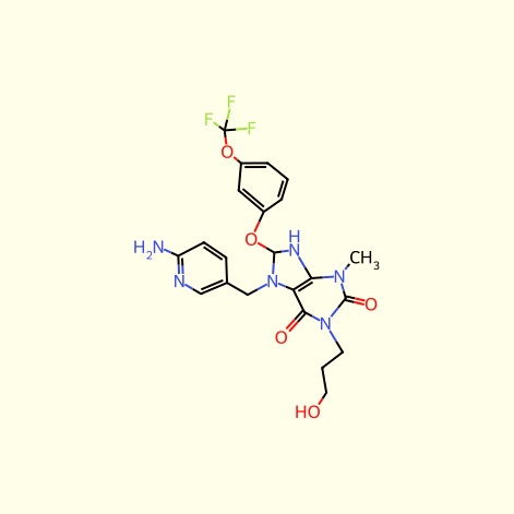 Cn1c2c(c(=O)n(CCCO)c1=O)N(Cc1ccc(N)nc1)C(Oc1cccc(OC(F)(F)F)c1)N2